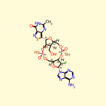 Cc1nc2c([C@@H]3O[C@@H]4CO[P@](=O)(S)O[C@H]5[C@@H](F)[C@H](n6cnc7c(N)ncnc76)O[C@@H]5CO[P@@](=O)(S)O[C@@H]3[C@@H]4CO)snc2c(=O)[nH]1